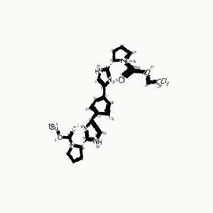 CC(C)(C)OC(=O)N1CCC[C@H]1c1nc(-c2ccc(-c3c[nH]c([C@@H]4CCCN4C(=O)OCC(Cl)(Cl)Cl)n3)cc2)c[nH]1